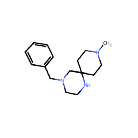 CN1CCC2(CC1)CN(Cc1ccccc1)CCN2